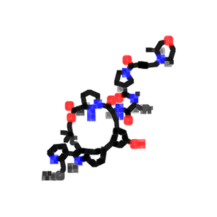 CCn1c(-c2cccnc2COC)c2c3cc(ccc31)-c1cc(O)cc(c1)C[C@H](NC(=O)[C@H](C(C)C)N(C)C(=O)[C@H]1CCN(C(=O)C#CCN3[C@H](C)COC[C@@H]3C)C1)C(=O)N1CCC[C@H](N1)C(=O)OCC(C)(C)C2